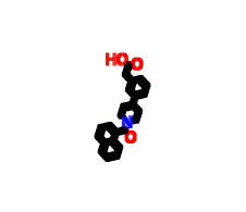 O=C(O)Cc1cccc(C2=CCN(C(=O)c3cccc4ccccc34)CC2)c1